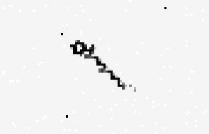 NCCCCNCCCNC(=O)c1ccccc1